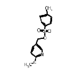 COc1ccc(COS(=O)(=O)c2ccc(C)cc2)cn1